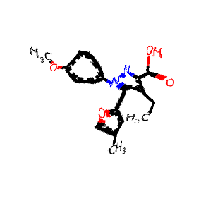 CCc1c(C(=O)O)nn(-c2ccc(OC)cc2)c1-c1cc(C)co1